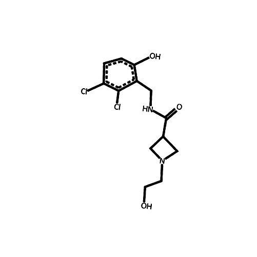 O=C(NCc1c(O)ccc(Cl)c1Cl)C1CN(CCO)C1